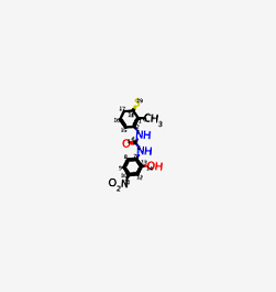 CC1=C(NC(=O)Nc2ccc([N+](=O)[O-])cc2O)C=CCC1=S